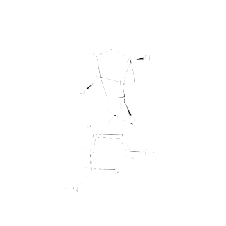 CC(C)(O)CN1[C@@H]2CC[C@H]1C[C@H](Oc1ccc([N+](=O)[O-])cc1F)C2